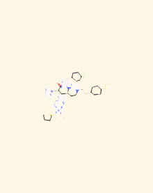 N#Cc1c(N2CCN(C(=O)c3cccs3)CC2)c2ccc(CCc3ccc(F)cc3)nc2n(Cc2ccc(F)cc2)c1=O